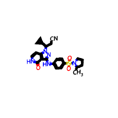 CC1CCCN1S(=O)(=O)c1ccc(Nc2nn(C(CC#N)C3CC3)c3cc[nH]c(=O)c23)cc1